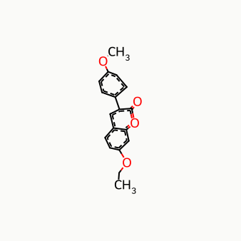 CCOc1ccc2cc(-c3ccc(OC)cc3)c(=O)oc2c1